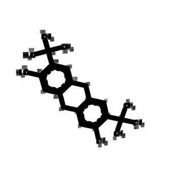 Cc1cc2c(cc1C(C)(C)C)Cc1cc(C(C)(C)C)c(C)cc1C2